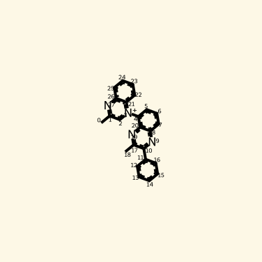 Cc1c[n+](-c2cccc3nc(-c4ccccc4)c(C)nc23)c2ccccc2n1